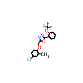 Cc1cc(Cl)ccc1OCc1nnc(-c2ccccc2OC(F)(F)F)o1